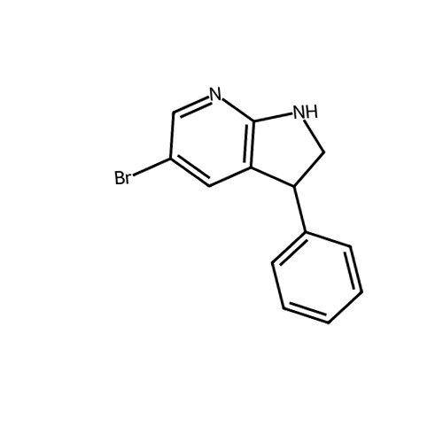 Brc1cnc2c(c1)C(c1ccccc1)CN2